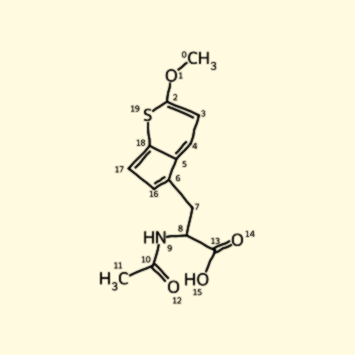 COc1ccc2c(CC(NC(C)=O)C(=O)O)ccc-2s1